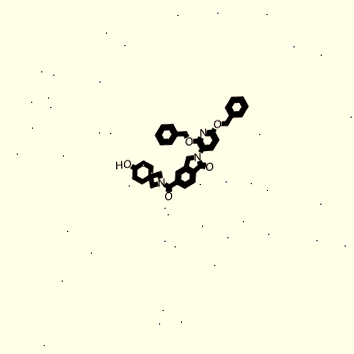 O=C(c1ccc2c(c1)CN(c1ccc(OCc3ccccc3)nc1OCc1ccccc1)C2=O)N1CC2(CCC(O)CC2)C1